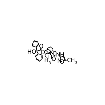 Cc1cc(NC(=O)[N+]23CCC(CC2)C(OC(=O)C(O)(c2ccccc2)c2ccccc2)[C@H]3C)no1